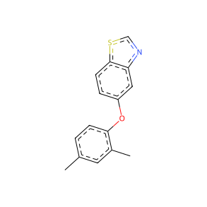 Cc1ccc(Oc2ccc3scnc3c2)c(C)c1